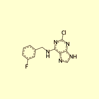 Fc1cccc(CNc2nc(Cl)nc3[nH]cnc23)c1